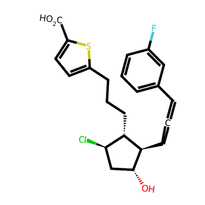 O=C(O)c1ccc(CCC[C@@H]2[C@@H](C=C=Cc3cccc(F)c3)[C@H](O)C[C@H]2Cl)s1